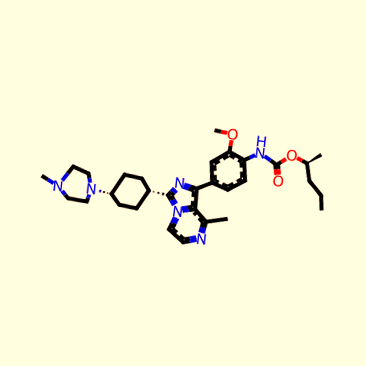 CCC[C@H](C)OC(=O)Nc1ccc(-c2nc([C@H]3CC[C@@H](N4CCN(C)CC4)CC3)n3ccnc(C)c23)cc1OC